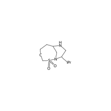 CC(C)C1CNC2CCCCS(=O)(=O)N1C2